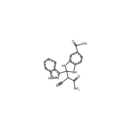 N#CC(C(N)=O)C1(c2n[nH]c3ccccc23)Nc2ccc(C(=O)O)cc2N1